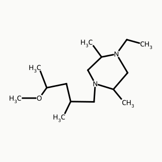 CCN1CC(C)N(CC(C)CC(C)OC)CC1C